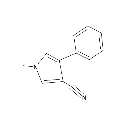 Cn1cc(C#N)c(-c2ccccc2)c1